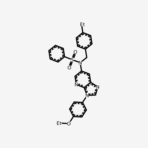 CCOc1ccc(-n2cnc3cc(N(Cc4ccc(CC)cc4)S(=O)(=O)c4ccccc4)cnc32)cc1